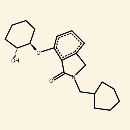 O=C1c2c(cccc2O[C@@H]2CCCC[C@H]2O)CN1CC1CCCCC1